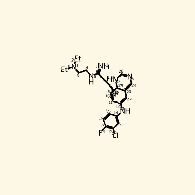 CCN(CC)CCNC(=N)C1=NC2=CC(Nc3ccc(F)c(Cl)c3)=CC3=CN=CNC32S1